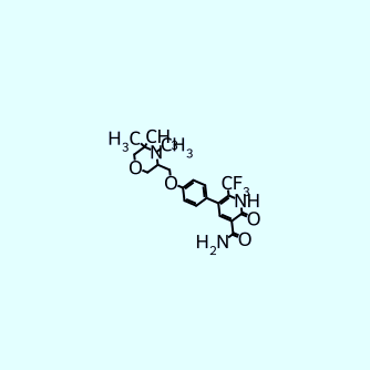 CN1C(COc2ccc(-c3cc(C(N)=O)c(=O)[nH]c3C(F)(F)F)cc2)COCC1(C)C